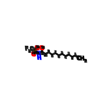 C=CCCCCCCCCCC(=O)NS(=O)(=O)C(F)(F)F